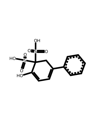 O=S(=O)(O)C1(S(=O)(=O)O)CC(c2ccccc2)=CC=C1O